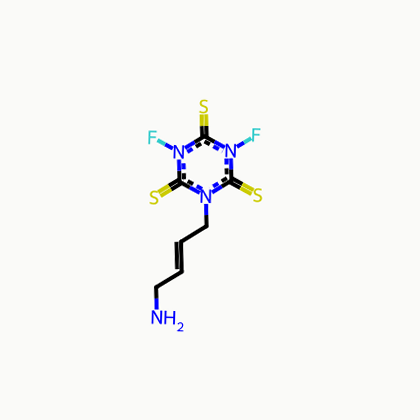 NCC=CCn1c(=S)n(F)c(=S)n(F)c1=S